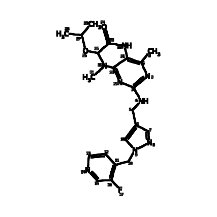 Cc1nc(NCc2cnn(Cc3ccncc3F)c2)nc2c1NC(=O)C(OC(C)C)N2C